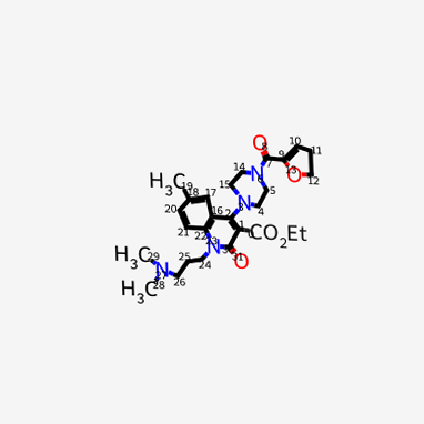 CCOC(=O)c1c(N2CCN(C(=O)C3=CCCO3)CC2)c2cc(C)ccc2n(CCCN(C)C)c1=O